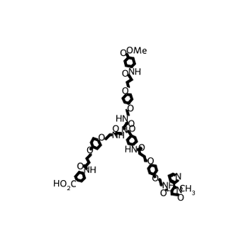 COC(=O)C1CCC(NC(=O)CCCOC2CCC(OCCNC(=O)CN(CC(=O)NCCOC3CCC(OCCCC(=O)NC4CCC(C(=O)O)CC4)CC3)C(=O)C3CCC(NC(=O)CCCOC4CCC(OCCNC(=O)[C@H]5CC(=O)N(C)[C@@H]5c5cccnc5)CC4)CC3)CC2)CC1